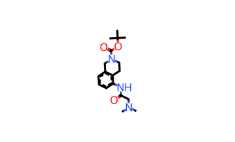 CN(C)CC(=O)Nc1cccc2c1CCN(C(=O)OC(C)(C)C)C2